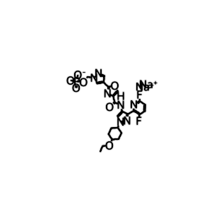 CCOC1CCC(n2cc(NC(=O)c3coc(-c4cnn(COP(=O)([O-])[O-])c4)n3)c(-c3nc(F)ccc3F)n2)CC1.[Na+].[Na+]